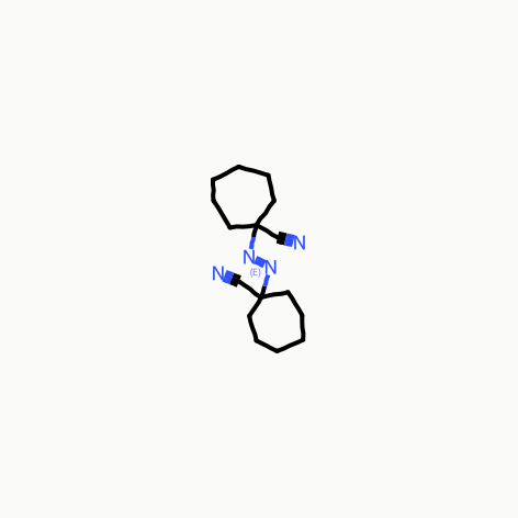 N#CC1(/N=N/C2(C#N)CCCCCC2)CCCCCC1